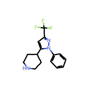 FC(F)(F)c1cc(C2CCNCC2)n(-c2ccccc2)n1